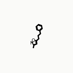 Cc1cc(CCCc2ccccc2)on1